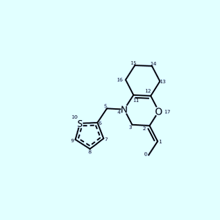 CC=C1CN(Cc2cccs2)C2=C(CCCC2)O1